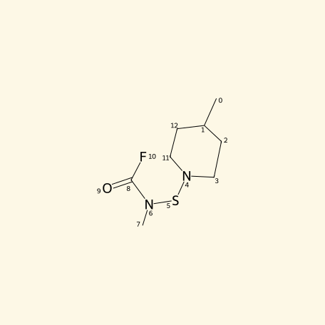 CC1CCN(SN(C)C(=O)F)CC1